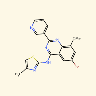 COc1cc(Br)cc2c(Nc3nc(C)cs3)nc(-c3cccnc3)nc12